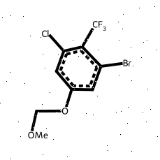 COCOc1cc(Cl)c(C(F)(F)F)c(Br)c1